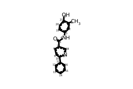 Cc1cc(NC(=O)c2ccc(-c3ccccc3)nc2)ccc1O